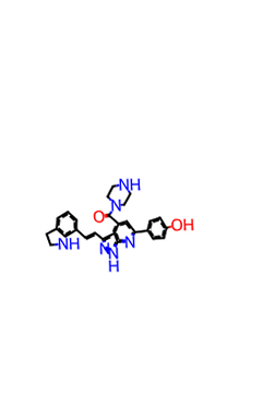 O=C(c1cc(-c2ccc(O)cc2)nc2[nH]nc(C=Cc3cccc4c3NCC4)c12)N1CCNCC1